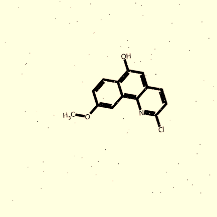 COc1ccc2c(O)cc3ccc(Cl)nc3c2c1